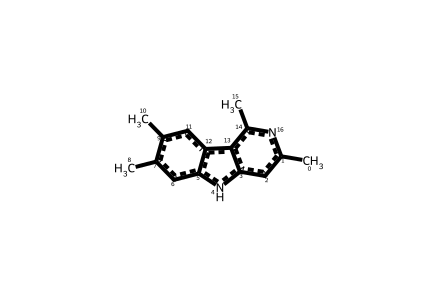 Cc1cc2[nH]c3cc(C)c(C)cc3c2c(C)n1